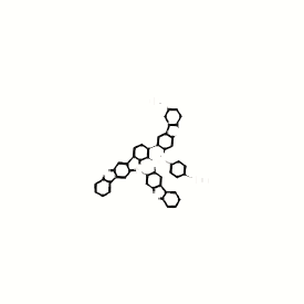 CC(C)(C)c1ccc(N2B3c4cc5c(cc4-n4c6cc7c(cc6c6ccc(c3c64)-c3cc4c(cc32)oc2ccc(C(C)(C)C)cc24)oc2ccccc27)oc2ccccc25)cc1